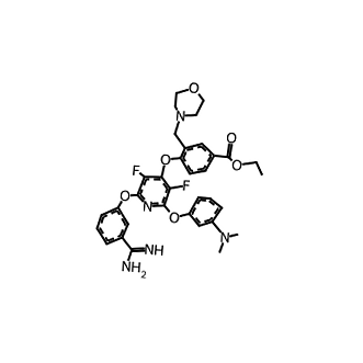 CCOC(=O)c1ccc(Oc2c(F)c(Oc3cccc(C(=N)N)c3)nc(Oc3cccc(N(C)C)c3)c2F)c(CN2CCOCC2)c1